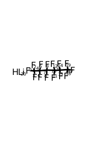 FC(F)(F)C(F)(F)C(F)(F)C(F)(F)C(F)(F)C(F)(F)F.[LiH]